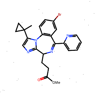 COC(=O)CCC1N=C(c2ccccn2)c2cc(Br)ccc2-n2c(C3(C)CC3)cnc21